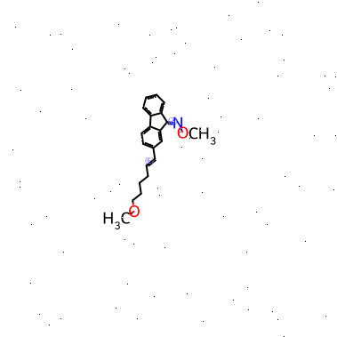 COCCCC/C=C/c1ccc2c(c1)/C(=N\OC)c1ccccc1-2